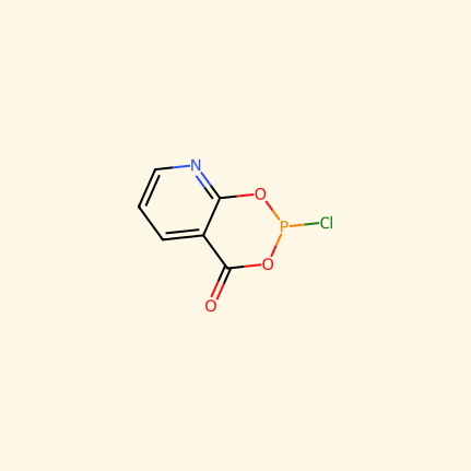 O=C1OP(Cl)Oc2ncccc21